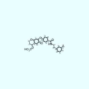 O=C(O)OC1CCOc2cc(Oc3ccc(C(=O)NCCc4cccc(F)c4)cc3)c(Cl)cc21